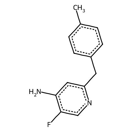 Cc1ccc(Cc2cc(N)c(F)cn2)cc1